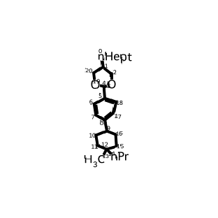 CCCCCCCC1COC(c2ccc(C3CCC(C)(CCC)CC3)cc2)OC1